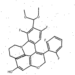 COC(OC)c1c(F)cc(C2=C(c3c(F)cccc3F)COc3cc(O)ccc32)c(N2CCCCC2)c1F